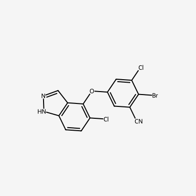 N#Cc1cc(Oc2c(Cl)ccc3[nH]ncc23)cc(Cl)c1Br